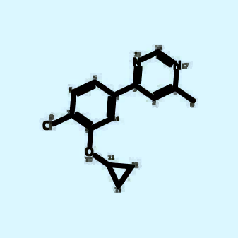 Cc1cc(-c2ccc(Cl)c(OC3CC3)c2)ncn1